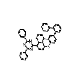 c1ccc(-c2nc(-c3ccccc3)nc(-c3ccc4c5c(cccc35)-c3cc(-c5ccccc5-c5ccccc5)ccc3S4)n2)cc1